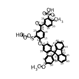 COc1ccc(C2(c3ccc(Oc4ccc(C(=O)c5ccc(C)c(S(=O)(=O)O)c5)cc4SOOO)cc3)c3ccccc3-c3ccccc32)cc1